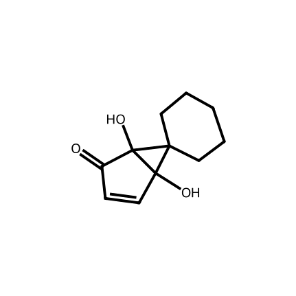 O=C1C=CC2(O)C3(CCCCC3)C12O